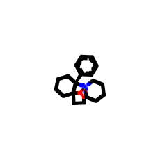 c1ccc([C@]2(N3CCCCC3)CCCCC23CCO3)cc1